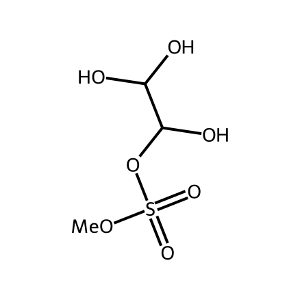 COS(=O)(=O)OC(O)C(O)O